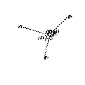 CCCC(=O)C(C(=O)O)C(OCCCCCCCCCCCCCCC(C)C)(C(=O)O)C(CCCCCCCCCCCCCCC(C)C)(CCCCCCCCCCCCCCC(C)C)C(=O)O